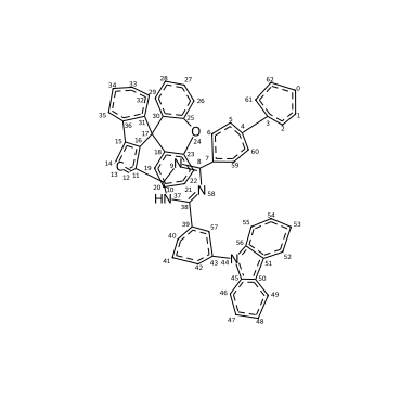 c1ccc(-c2ccc(C3=NC(c4cccc5c4C4(c6ccccc6Oc6ccccc64)c4ccccc4-5)NC(c4cccc(-n5c6ccccc6c6ccccc65)c4)=N3)cc2)cc1